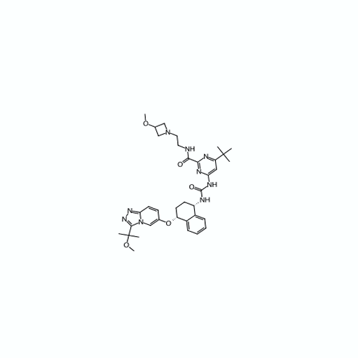 COC1CN(CCNC(=O)c2nc(NC(=O)N[C@H]3CC[C@@H](Oc4ccc5nnc(C(C)(C)OC)n5c4)c4ccccc43)cc(C(C)(C)C)n2)C1